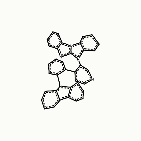 c1ccc(-n2c3ccccc3c3ccccc32)c(-c2ccncc2-n2c3ccccc3n3c4ccccc4nc23)c1